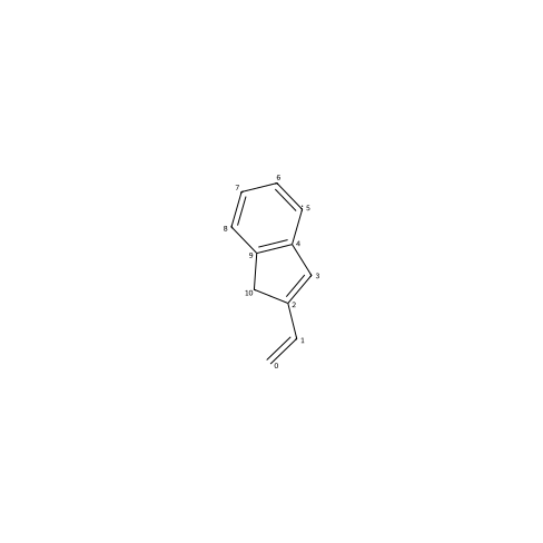 C=CC1=Cc2[c]cccc2C1